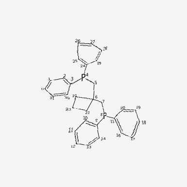 c1ccc(P(CC2(CP(c3ccccc3)c3ccccc3)CCC2)c2ccccc2)cc1